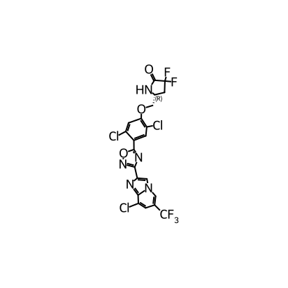 O=C1N[C@@H](COc2cc(Cl)c(-c3nc(-c4cn5cc(C(F)(F)F)cc(Cl)c5n4)no3)cc2Cl)CC1(F)F